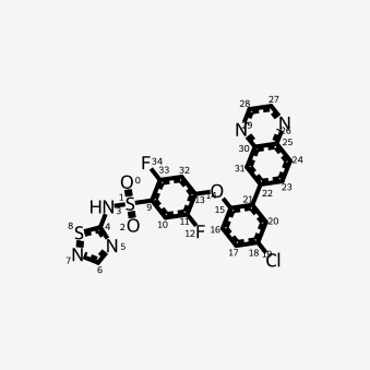 O=S(=O)(Nc1ncns1)c1cc(F)c(Oc2ccc(Cl)cc2-c2ccc3nccnc3c2)cc1F